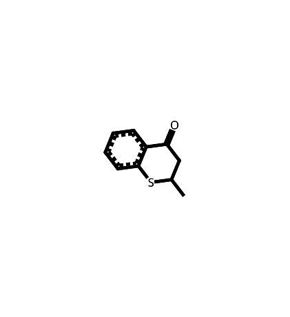 CC1CC(=O)c2ccccc2S1